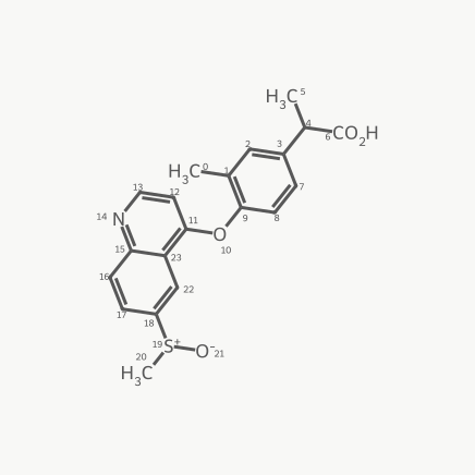 Cc1cc(C(C)C(=O)O)ccc1Oc1ccnc2ccc([S+](C)[O-])cc12